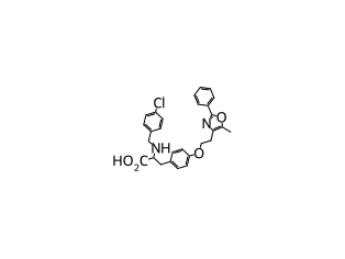 Cc1oc(-c2ccccc2)nc1CCOc1ccc(CC(NCc2ccc(Cl)cc2)C(=O)O)cc1